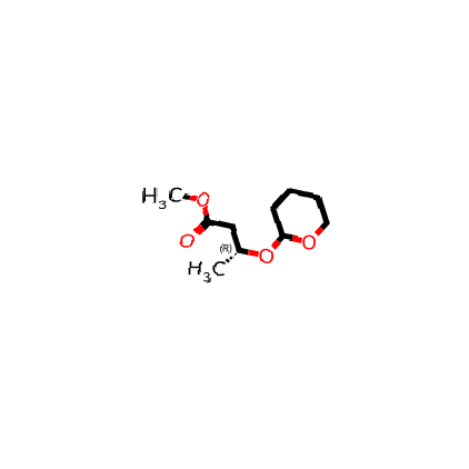 COC(=O)C[C@@H](C)OC1CCCCO1